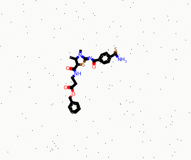 CC1C(C(=O)NCCC(=O)OCc2ccccc2)SC(=NC(=O)c2ccc(C(N)=S)cc2)N1C